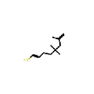 C=C(C)CC(C)(C)CCC=CS